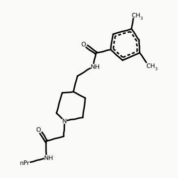 CCCNC(=O)CN1CCC(CNC(=O)c2cc(C)cc(C)c2)CC1